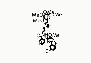 COCC1OC(CCNCCCNC(=O)c2cnccc2Nc2nc(-c3cc(Cl)ccc3F)ncc2OC)C(OC)C(OC)C1OC